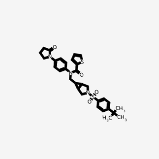 CC(C)(C)c1ccc(S(=O)(=O)N2CC3C(CN(C(=O)c4cccs4)c4ccc(N5CCCC5=O)cc4)C3C2)cc1